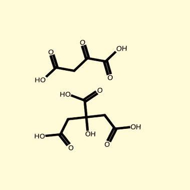 O=C(O)CC(=O)C(=O)O.O=C(O)CC(O)(CC(=O)O)C(=O)O